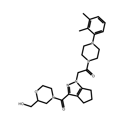 Cc1cccc(N2CCN(C(=O)Cn3nc(C(=O)N4CCOC(CO)C4)c4c3CCC4)CC2)c1C